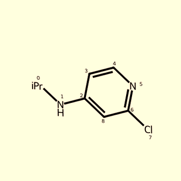 CC(C)Nc1ccnc(Cl)c1